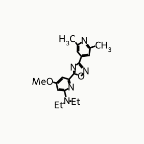 CCN(CC)c1cc(OC)cc(-c2nc(-c3cc(C)nc(C)c3)no2)n1